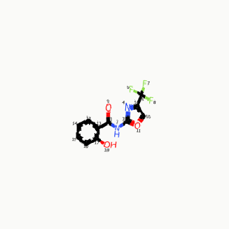 O=C(Nc1nc(C(F)(F)F)co1)c1ccccc1O